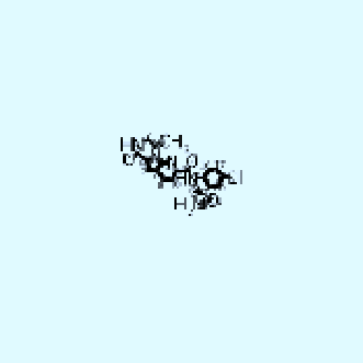 C[C@@H]1CNC(=O)c2cc3ccc(C(=O)Nc4ccc(Cl)cc4S(N)(=O)=O)nc3n21